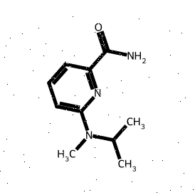 CC(C)N(C)c1cc[c]c(C(N)=O)n1